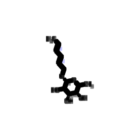 C/C=C/C=C/CO[C@@H]1OC(C)[C@H](O)[C@H](O)C1O